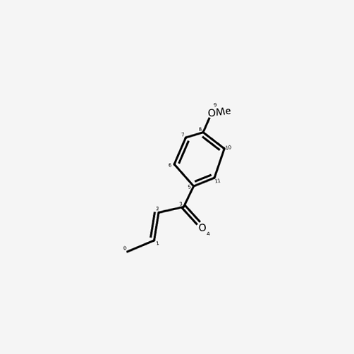 C/C=C/C(=O)c1ccc(OC)cc1